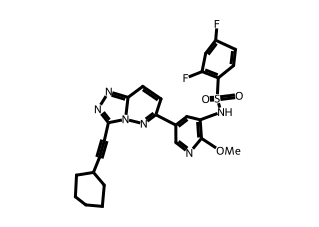 COc1ncc(-c2ccc3nnc(C#CC4CCCCC4)n3n2)cc1NS(=O)(=O)c1ccc(F)cc1F